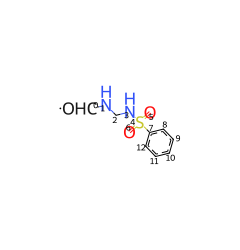 O=[C]NCNS(=O)(=O)c1ccccc1